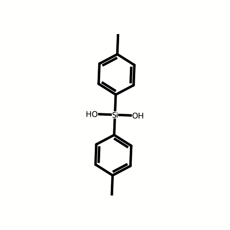 Cc1ccc([Si](O)(O)c2ccc(C)cc2)cc1